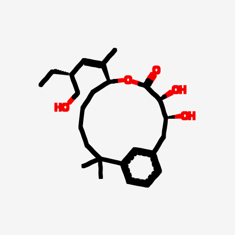 CC[C@H](/C=C(/C)[C@@H]1CCCCC(C)(C)c2cccc(c2)C[C@@H](O)[C@H](O)C(=O)O1)CO